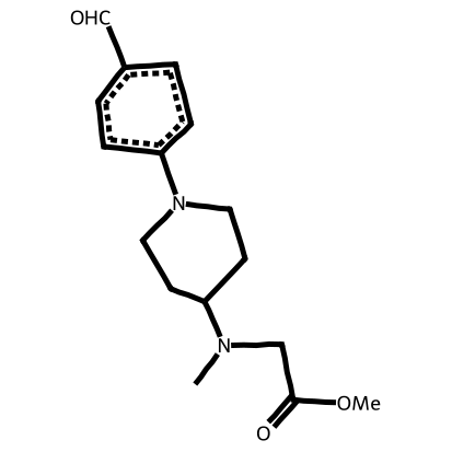 COC(=O)CN(C)C1CCN(c2ccc(C=O)cc2)CC1